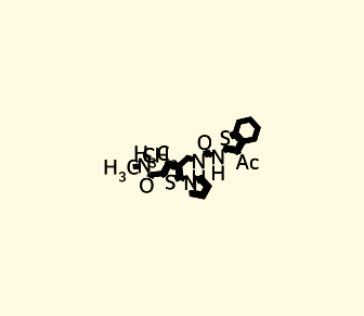 CC(=O)c1c(NC(=O)NCc2c(-n3cccc3)sc(C(=O)N(C)C)c2C)sc2c1CCCC2